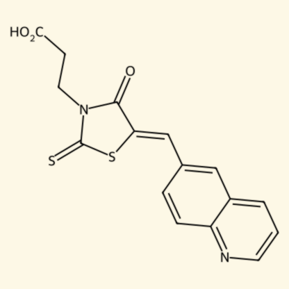 O=C(O)CCN1C(=O)/C(=C/c2ccc3ncccc3c2)SC1=S